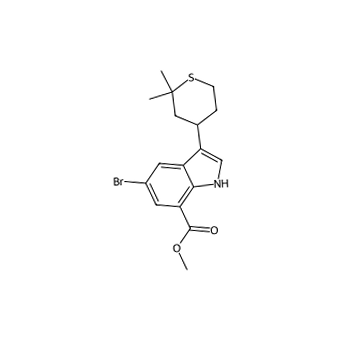 COC(=O)c1cc(Br)cc2c(C3CCSC(C)(C)C3)c[nH]c12